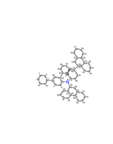 c1ccc(-c2ccc(N(c3ccc(-c4cc5ccccc5c5ccccc45)cc3)c3cc4ccccc4c4ccccc34)c(-c3ccccc3)c2)cc1